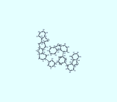 c1cc(-c2ccc3oc4cc5c(cc4c3c2)oc2ccccc25)cc(-c2nc(-c3cccc4oc5ccccc5c34)nc(-c3cccc4oc5ccccc5c34)n2)c1